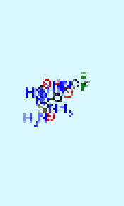 CC(C)(CO)Nc1nc(-c2cccc(NC(=O)Nc3ccc(C(C)(F)F)cc3)c2)c2c(N)c(C(N)=O)sc2n1